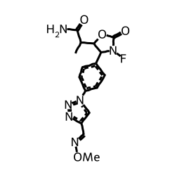 CON=Cc1cn(-c2ccc(C3C(C(C)C(N)=O)OC(=O)N3F)cc2)nn1